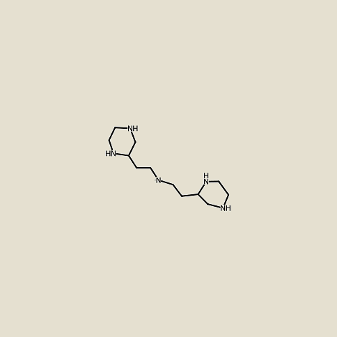 C(CC1CNCCN1)[N]CCC1CNCCN1